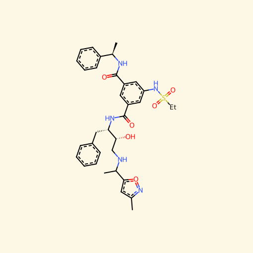 CCS(=O)(=O)Nc1cc(C(=O)N[C@@H](Cc2ccccc2)[C@H](O)CNC(C)c2cc(C)no2)cc(C(=O)N[C@H](C)c2ccccc2)c1